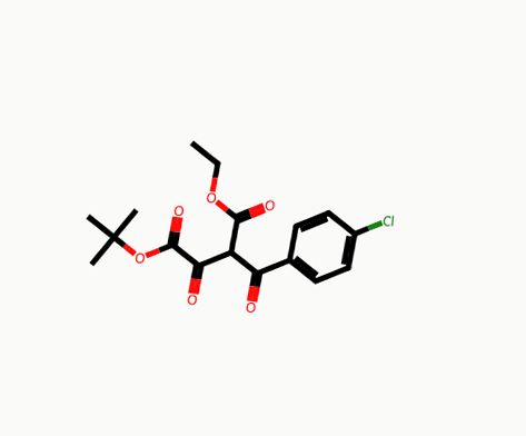 CCOC(=O)C(C(=O)C(=O)OC(C)(C)C)C(=O)c1ccc(Cl)cc1